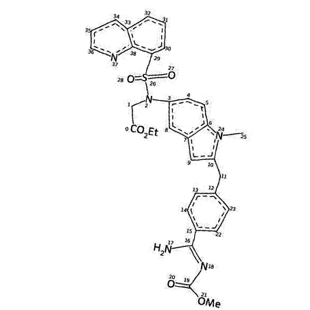 CCOC(=O)CN(c1ccc2c(c1)cc(Cc1ccc(C(N)=NC(=O)OC)cc1)n2C)S(=O)(=O)c1cccc2cccnc12